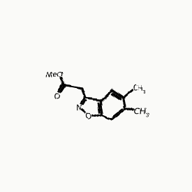 COC(=O)Cc1noc2cc(C)c(C)cc12